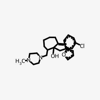 CN1CCN(CC2CCCCC(=Cc3ccco3)C2(O)Cc2cccc(Cl)c2)CC1